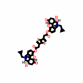 O=C(Cc1csc2c(CC(=O)Oc3ccc4c5c3O[C@H]3C(=O)CC[C@@]6(O)[C@@H](C4)N(CC4CC4)CC[C@]536)csc12)Oc1ccc2c3c1O[C@H]1C(=O)CC[C@@]4(O)[C@@H](C2)N(CC2CC2)CCC314